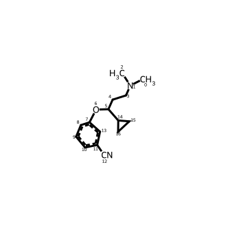 CN(C)CCC(Oc1cccc(C#N)c1)C1CC1